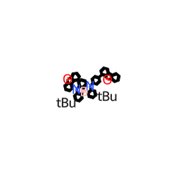 CC(C)(C)c1ccc2c(c1)N(c1ccc(-c3cccc4c3oc3ccccc34)cc1)c1cccc3c1B2c1ccc(C(C)(C)C)cc1N3c1cccc2oc3ccccc3c12